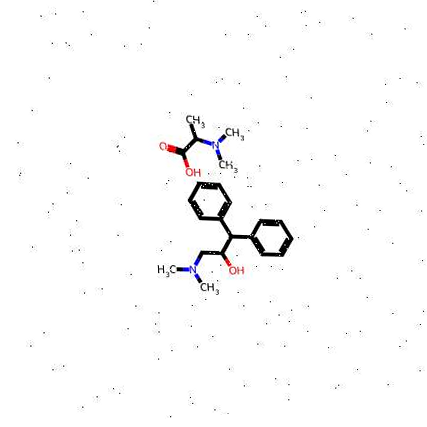 CC(C(=O)O)N(C)C.CN(C)CC(O)C(c1ccccc1)c1ccccc1